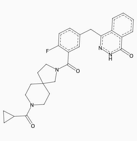 O=C(c1cc(Cc2n[nH]c(=O)c3ccccc23)ccc1F)N1CCC2(CCN(C(=O)C3CC3)CC2)C1